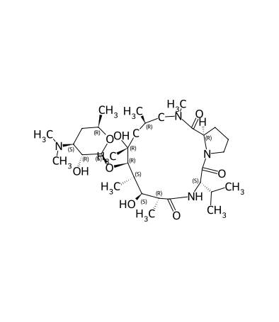 CC(C)[C@@H]1NC(=O)[C@H](C)[C@@H](O)[C@H](C)[C@@H](O[C@@H]2O[C@H](C)C[C@H](N(C)C)[C@H]2O)[C@](C)(O)C[C@@H](C)CN(C)C(=O)[C@H]2CCCN2C1=O